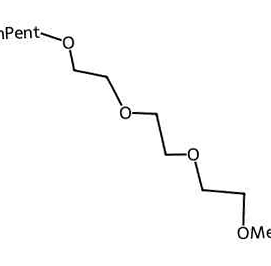 CCCCCOCCOCCOCCOC